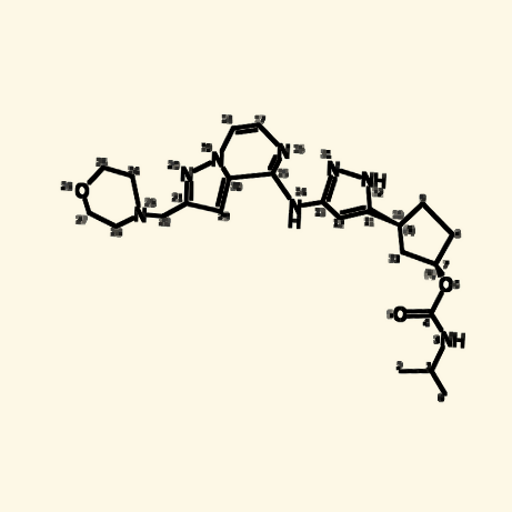 CC(C)NC(=O)O[C@@H]1CC[C@H](c2cc(Nc3nccn4nc(CN5CCOCC5)cc34)n[nH]2)C1